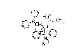 CB(c1ccccc1)c1ccccc1.CCC(C)C=C[SiH2]C(c1ccccc1)(c1ccccc1)n1ccnc1